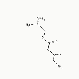 CCC(Br)CC(=O)OCC(C)C